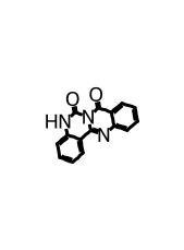 O=c1[nH]c2ccccc2c2nc3ccccc3c(=O)n12